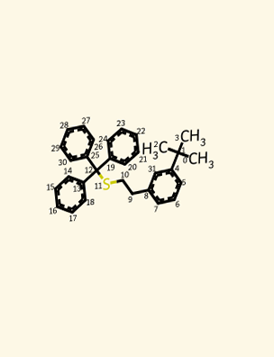 CC(C)(C)c1cccc(CCSC(c2ccccc2)(c2ccccc2)c2ccccc2)c1